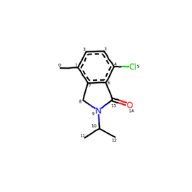 Cc1ccc(Cl)c2c1CN(C(C)C)C2=O